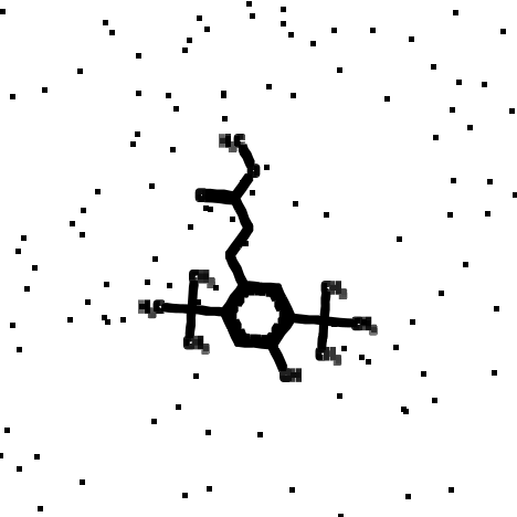 COC(=O)CCc1cc(C(C)(C)C)c(O)cc1C(C)(C)C